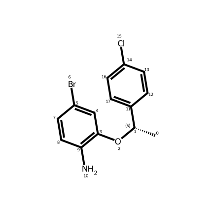 C[C@H](Oc1cc(Br)ccc1N)c1ccc(Cl)cc1